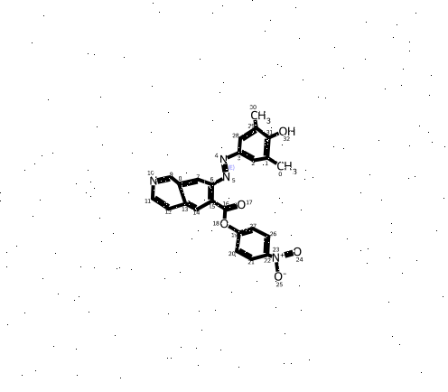 Cc1cc(/N=N/c2cc3cnccc3cc2C(=O)Oc2ccc([N+](=O)[O-])cc2)cc(C)c1O